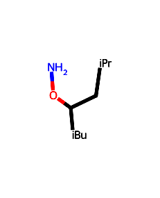 CCC(C)C(CC(C)C)ON